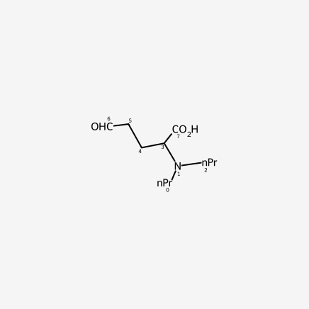 CCCN(CCC)C(CCC=O)C(=O)O